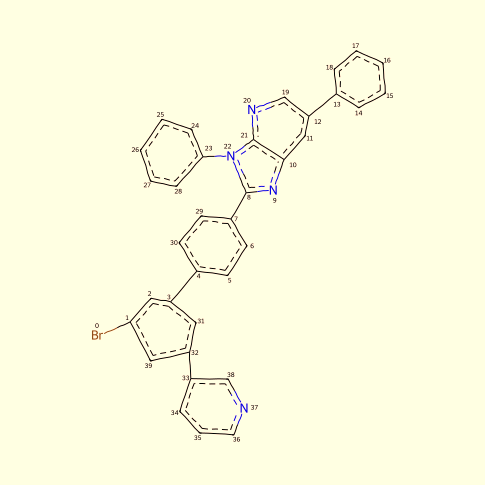 Brc1cc(-c2ccc(-c3nc4cc(-c5ccccc5)cnc4n3-c3ccccc3)cc2)cc(-c2cccnc2)c1